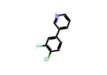 Fc1cc(-c2cc[c]nc2)ccc1Cl